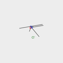 CCCCCCCCCCCCCCCCCC[N](CCCCCCCCCCCCCCCCCC)[Ti+]([O]CCCCCC)[N](CCCCCCCCCCCCCCCCCC)CCCCCCCCCCCCCCCCCC.[Cl-]